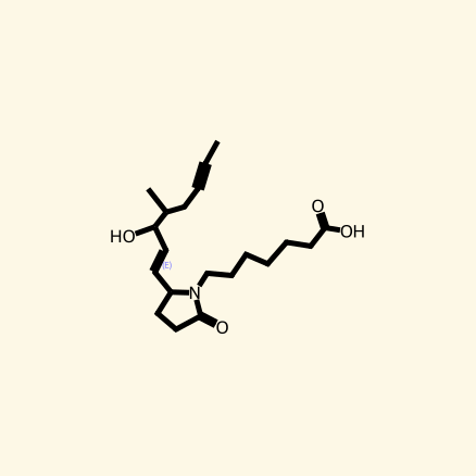 CC#CCC(C)C(O)/C=C/C1CCC(=O)N1CCCCCCC(=O)O